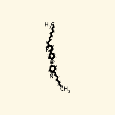 CCCCCCCCCc1ccc(-c2ccc(OC[C@H]3CC[C@@](C#N)(CCCCCCCC)CC3)cc2)nc1